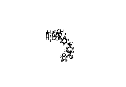 CC1(C)OB(c2ccc([C@@H]3CC34CCN(C(=O)C3CCCO3)CC4)cc2)OC1(C)C